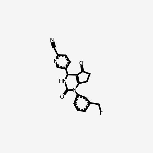 N#Cc1ccc(C2NC(=O)N(c3cccc(CF)c3)C3=C2C(=O)CC3)cn1